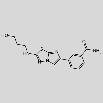 NC(=O)c1cccc(-c2cn3nc(NCCCO)sc3n2)c1